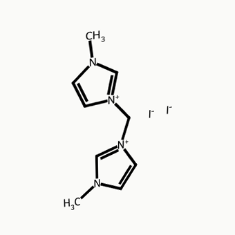 Cn1cc[n+](C[n+]2ccn(C)c2)c1.[I-].[I-]